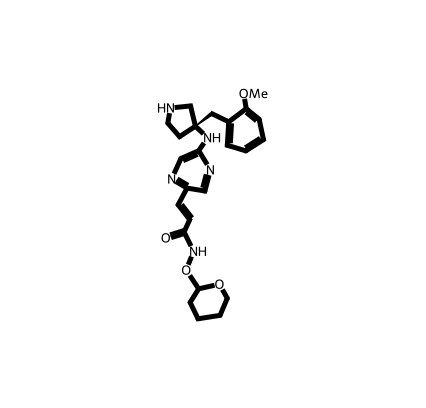 COc1ccccc1C[C@@]1(Nc2cnc(/C=C/C(=O)NOC3CCCCO3)cn2)CCNC1